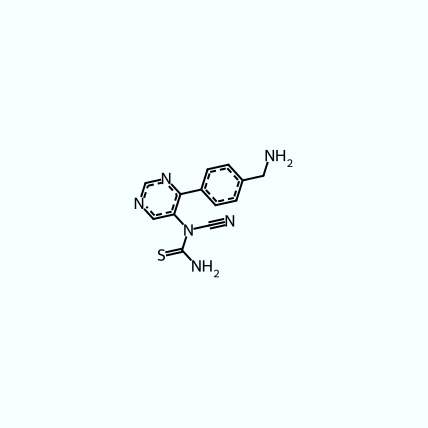 N#CN(C(N)=S)c1cncnc1-c1ccc(CN)cc1